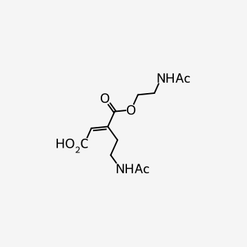 CC(=O)NCCOC(=O)C(=CC(=O)O)CCNC(C)=O